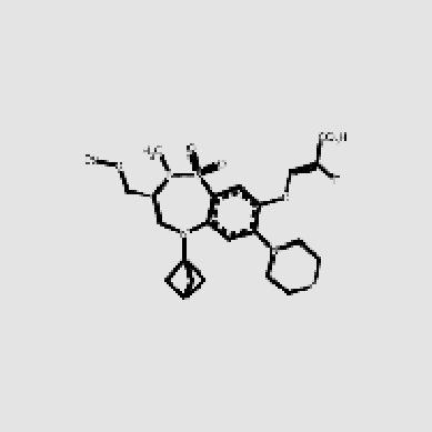 CCOC[C@@H]1CN(C23CC(C2)C3)c2cc(N3CCOCC3)c(O/C=C(\F)C(=O)O)cc2S(=O)(=O)N1C